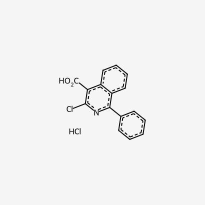 Cl.O=C(O)c1c(Cl)nc(-c2ccccc2)c2ccccc12